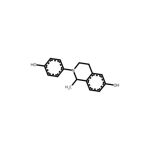 CC1c2ccc(O)cc2CCN1c1ccc(O)cc1